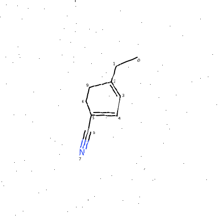 CCC1=CC=C(C#N)CC1